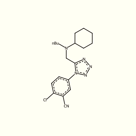 CCCCN(Cc1nnnn1-c1ccc(Cl)c(C#N)c1)C1CCCCC1